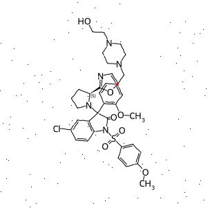 COc1ccc(S(=O)(=O)N2C(=O)C(c3ccc(CN4CCN(CCO)CC4)cc3OC)(N3CCC[C@H]3c3ncco3)c3cc(Cl)ccc32)cc1